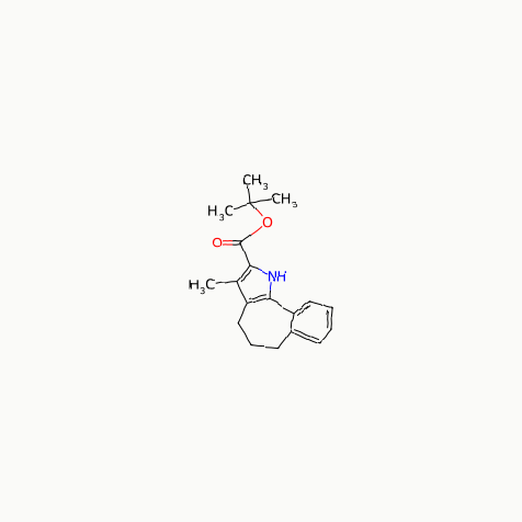 Cc1c(C(=O)OC(C)(C)C)[nH]c2c1CCCc1ccccc1-2